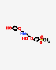 CS(=O)(=O)c1ccc(OCC(O)CNCCOc2ccc(O)cc2)cc1